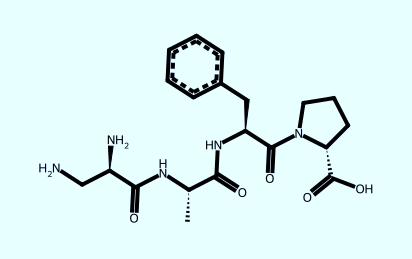 C[C@H](NC(=O)[C@H](N)CN)C(=O)N[C@@H](Cc1ccccc1)C(=O)N1CCC[C@@H]1C(=O)O